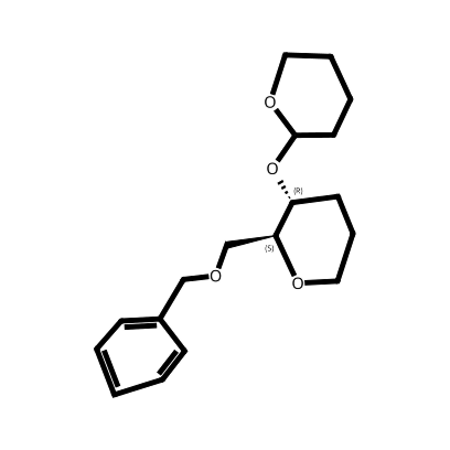 c1ccc(COC[C@@H]2OCCC[C@H]2OC2CCCCO2)cc1